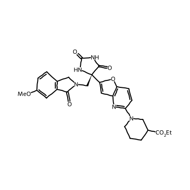 CCOC(=O)C1CCCN(c2ccc3oc([C@]4(CN5Cc6ccc(OC)cc6C5=O)NC(=O)NC4=O)cc3n2)C1